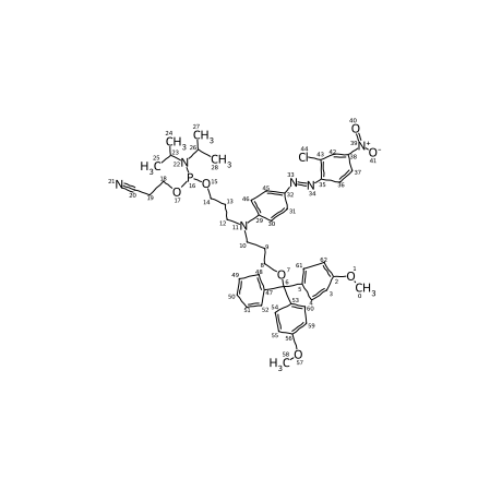 COc1ccc(C(OCCCN(CCCOP(OCCC#N)N(C(C)C)C(C)C)c2ccc(N=Nc3ccc([N+](=O)[O-])cc3Cl)cc2)(c2ccccc2)c2ccc(OC)cc2)cc1